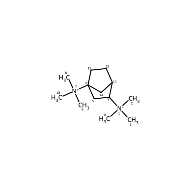 C[N+](C)(C)C1CC2([N+](C)(C)C)CCC1C2